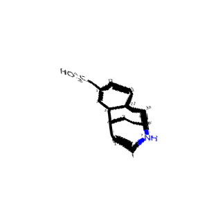 O=C(O)C1=CC2C3C=CNC(C3)CC2C=C1